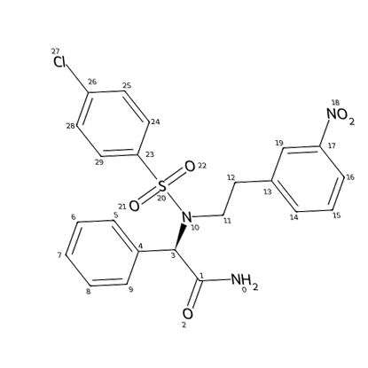 NC(=O)[C@@H](c1ccccc1)N(CCc1cccc([N+](=O)[O-])c1)S(=O)(=O)c1ccc(Cl)cc1